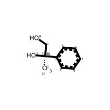 OC[C@](O)(c1ccccc1)C(F)(F)F